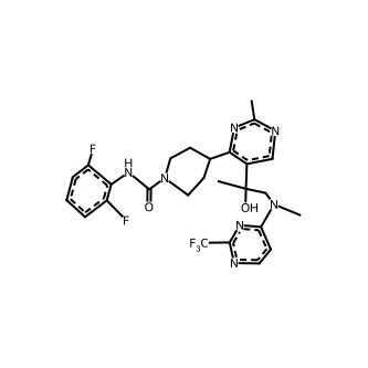 Cc1ncc(C(C)(O)CN(C)c2ccnc(C(F)(F)F)n2)c(C2CCN(C(=O)Nc3c(F)cccc3F)CC2)n1